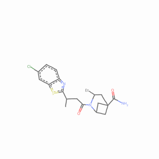 CCC1CC2(C(N)=O)CC(C2)N1C(=O)CC(C)c1nc2ccc(Cl)cc2s1